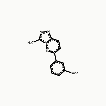 CNc1cccc(-c2ccc3nnc(C)n3n2)c1